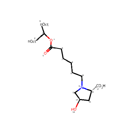 CCCCCCCCC(CCCCCCCC)OC(=O)CCCCCN1CC(O)C[C@H]1C(=O)O